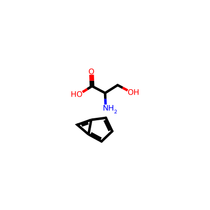 NC(CO)C(=O)O.c1cc2cc-2c1